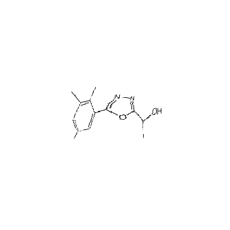 Cc1cc(C)c(C)c(-c2nnc(C(C)O)o2)c1